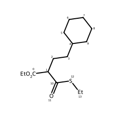 CCOC(=O)C(CCC1CCCCC1)C(=O)SCC